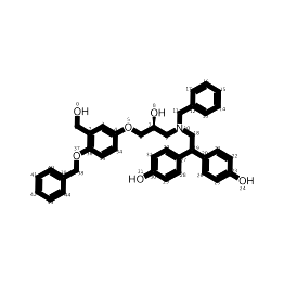 OCc1cc(OC[C@@H](O)CN(Cc2ccccc2)CC(c2ccc(O)cc2)c2ccc(O)cc2)ccc1OCc1ccccc1